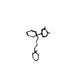 CCCCCCCCC1(CCCCC2(c3ccc(C#N)c(F)c3)CCCCC2)CCCCC1